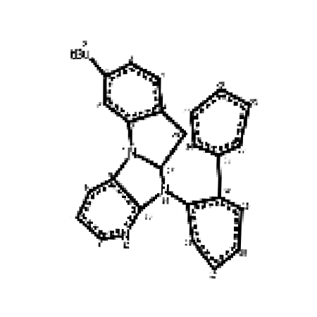 CC(C)(C)c1ccc2c(c1)N1c3cccnc3N(c3ccccc3-c3ccccc3)C1C2